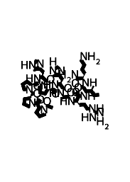 CC[C@H](C)[C@H](NC(=O)[C@H](CCCNC(=N)N)NC(=O)[C@H](C)NC(=O)[C@H](Cc1c[nH]cn1)NC(=O)[C@@H]1CCCN1C(=O)[C@H](Cc1c[nH]cn1)NC(=O)[C@@H]1CCCN1C(=O)[C@@H]1CCCN1C(=O)C1CCCN1C(C)=O)C(=O)N[C@@H](CCCCN)C(N)=O